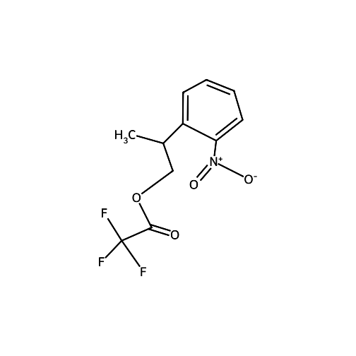 CC(COC(=O)C(F)(F)F)c1ccccc1[N+](=O)[O-]